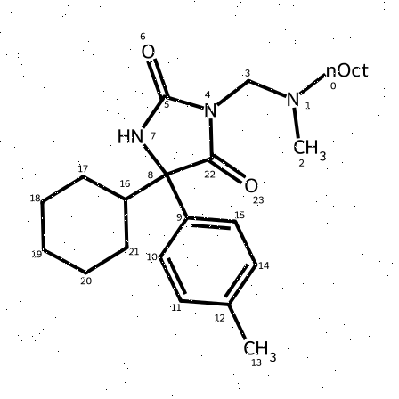 CCCCCCCCN(C)CN1C(=O)NC(c2ccc(C)cc2)(C2CCCCC2)C1=O